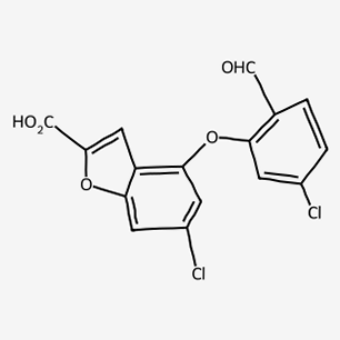 O=Cc1ccc(Cl)cc1Oc1cc(Cl)cc2oc(C(=O)O)cc12